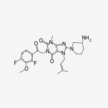 COc1c(F)ccc(C(=O)Cn2c(=O)c3c(nc(N4CCCC(N)C4)n3CC=C(C)C)n(C)c2=O)c1F